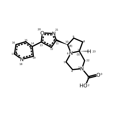 O=C(O)N1CCN2[C@@H](CC[C@@H]2c2cc(-c3cccnc3)on2)C1